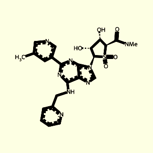 CNC(=O)[C@@H]1[C@@H](O)[C@@H](O)[C@H](n2cnc3c(NCc4ccccn4)nc(-c4cncc(C)c4)nc32)S1(=O)=O